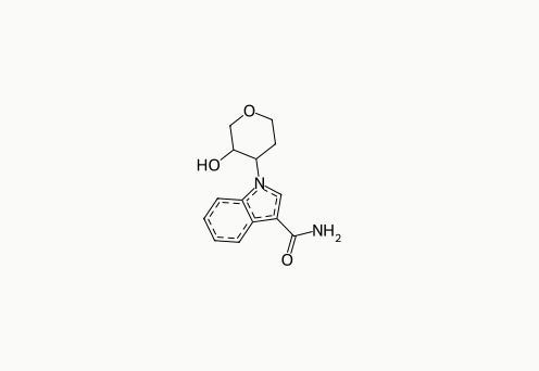 NC(=O)c1cn(C2CCOCC2O)c2ccccc12